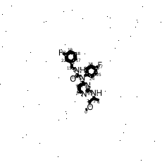 COCC(C)Nc1nccc(N(C(=O)NCc2cccc(F)c2)c2ccc(F)cc2)n1